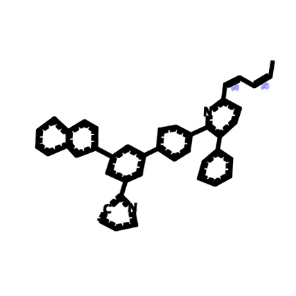 C/C=C\C=C/c1ccc(-c2ccccc2)c(-c2ccc(-c3cc(-c4ccc5ccccc5c4)cc(-c4ccccn4)c3)cc2)n1